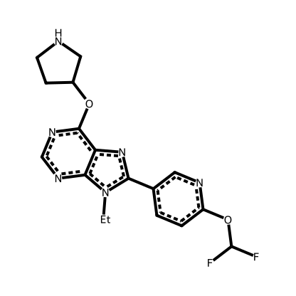 CCn1c(-c2ccc(OC(F)F)nc2)nc2c(OC3CCNC3)ncnc21